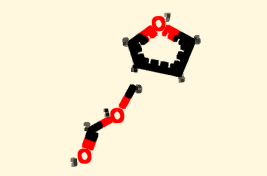 COC=O.c1ccoc1